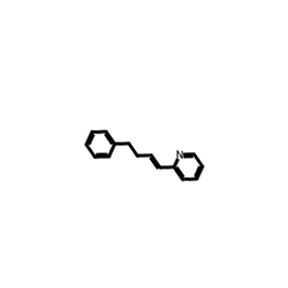 C(=C\c1ccccn1)/CCc1ccccc1